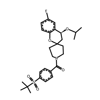 CC(C)O[C@H]1CC2(CCN(C(=O)c3ccc(S(=O)(=O)C(C)(C)C)cc3)CC2)Oc2ccc(F)cc21